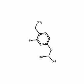 NCc1ccc(OB(O)O)cc1F